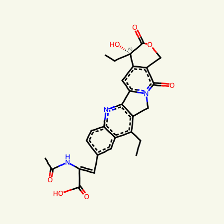 CCc1c2c(nc3ccc(C=C(NC(C)=O)C(=O)O)cc13)-c1cc3c(c(=O)n1C2)COC(=O)[C@]3(O)CC